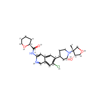 C[C@@]1(N2CCC(c3cc4cc(NC(=O)[C@@H]5CCCCO5)ncc4cc3Cl)CC2)COC[C@@H]1O